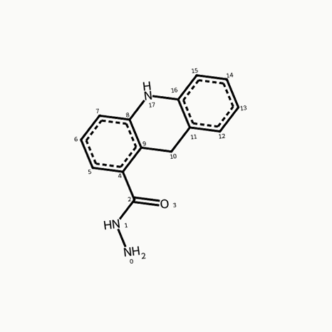 NNC(=O)c1cccc2c1Cc1ccccc1N2